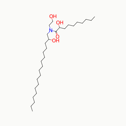 CCCCCCCCCCCCCCCCC(O)CN(CCO)C(=O)C(O)CCCCCCCC